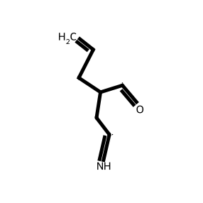 C=CCC([C]=O)C[C]=N